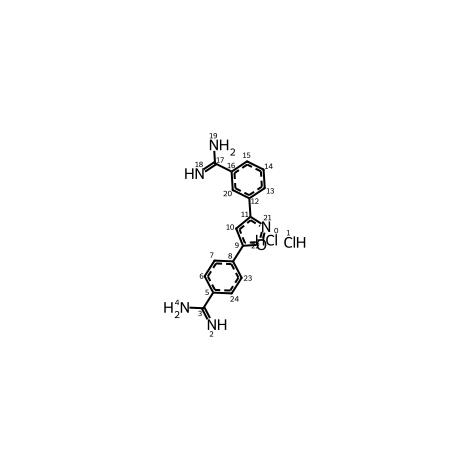 Cl.Cl.N=C(N)c1ccc(-c2cc(-c3cccc(C(=N)N)c3)no2)cc1